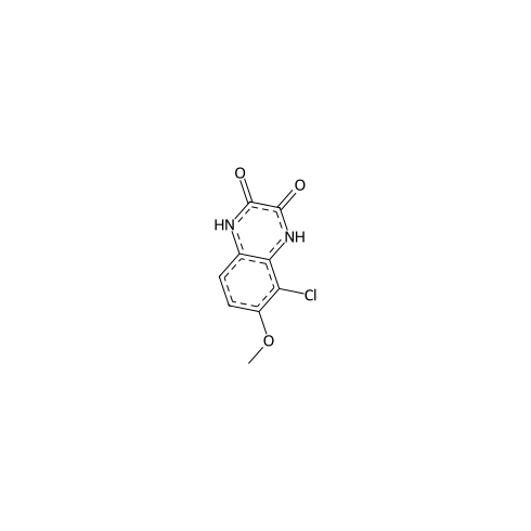 COc1ccc2[nH]c(=O)c(=O)[nH]c2c1Cl